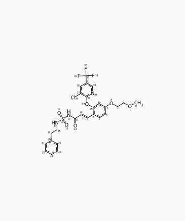 COCCOc1ccc(/C=C/C(=O)NS(=O)(=O)NCCc2ccccc2)c(Oc2ncc(C(F)(F)F)cc2Cl)c1